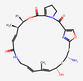 CC1=C\[C@@H](O)C[C@@H](N)Cc2nc(co2)C(=O)N2CCC=C2C(=O)O[C@H](C(C)C)[C@H](C)/C=C/C(=O)NC\C=C\1